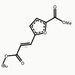 COC(=O)c1ccc(/C=C/C(=O)OC(C)(C)C)o1